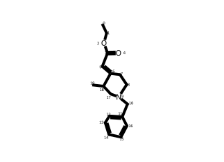 CCOC(=O)C=C1CCN(Cc2ccccc2)CC1C